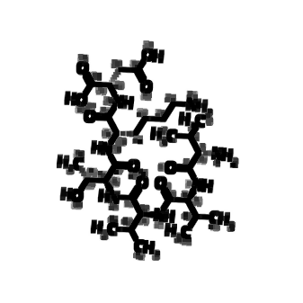 CC(C)[C@H](N)C(=O)N[C@H](C(=O)N[C@H](C(=O)N[C@H](C(=O)N[C@@H](CCCCN)C(=O)N[C@@H](CC(=O)O)C(=O)O)[C@@H](C)O)C(C)C)C(C)C